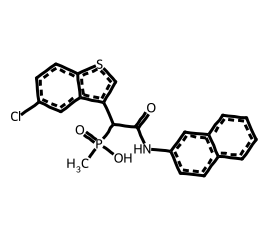 CP(=O)(O)C(C(=O)Nc1ccc2ccccc2c1)c1csc2ccc(Cl)cc12